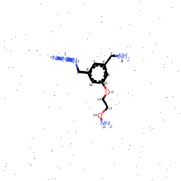 [N-]=[N+]=NCc1cc(CN)cc(OCCON)c1